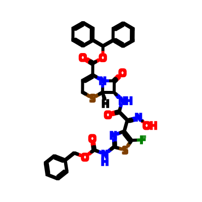 O=C(Nc1nc(C(=NO)C(=O)N[C@@H]2C(=O)N3C(C(=O)OC(c4ccccc4)c4ccccc4)=CCS[C@@H]23)c(F)s1)OCc1ccccc1